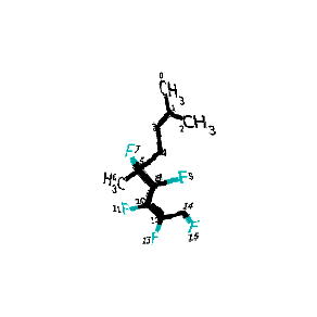 CC(C)CCC(C)(F)C(F)/C(F)=C(/F)CF